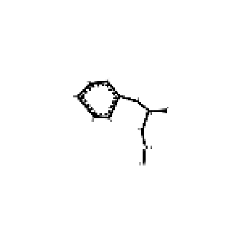 COC[C@H](C)Cc1ccccc1